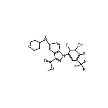 COC(=O)c1nn(-c2cc(C(F)(F)F)c(F)c(O)c2F)c2ccc(N(C)C3CCOCC3)cc12